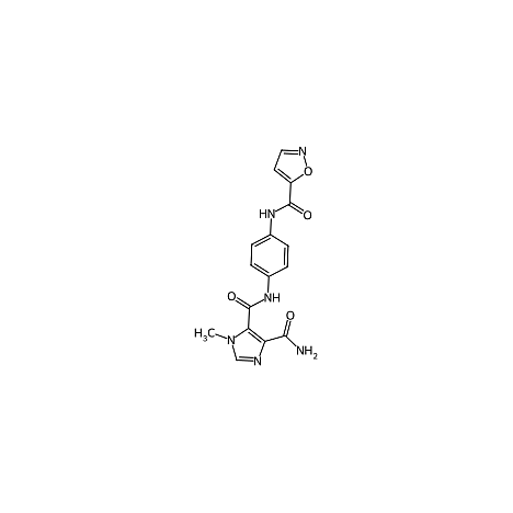 Cn1cnc(C(N)=O)c1C(=O)Nc1ccc(NC(=O)c2ccno2)cc1